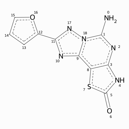 Nc1nc2[nH]c(=O)sc2c2nc(-c3ccco3)nn12